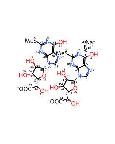 CSc1nc(O)c2ncn([C@@H]3O[C@H](C(O)C(=O)[O-])[C@@H](O)[C@H]3O)c2n1.CSc1nc(O)c2ncn([C@@H]3O[C@H](C(O)C(=O)[O-])[C@@H](O)[C@H]3O)c2n1.[Na+].[Na+]